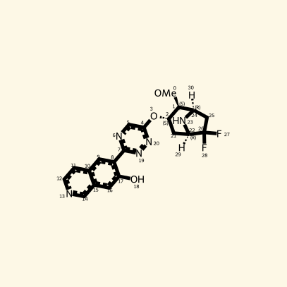 CO[C@@H]1[C@@H](Oc2cnc(-c3cc4ccncc4cc3O)nn2)C[C@H]2N[C@@H]1CC2(F)F